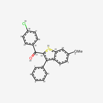 COc1ccc2c(-c3ccccc3)c(C(=O)c3ccc(Cl)cc3)sc2c1